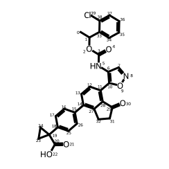 CC(OC(=O)Nc1cnoc1-c1ccc(-c2ccc(C3(C(=O)O)CC3)cc2)c2c1C(=O)CC2)c1ccccc1Cl